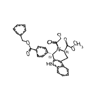 COC(=O)[C@H]1Cc2c([nH]c3ccccc23)[C@H](c2ccc(C(=O)OCc3ccccc3)cc2)N1C(=O)CCl